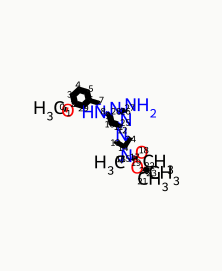 COc1cccc(CNc2cc(N3CC(N(C)C(=O)OC(C)(C)C)C3)nc(N)n2)c1